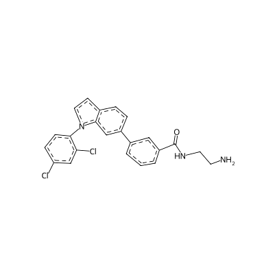 NCCNC(=O)c1cccc(-c2ccc3ccn(-c4ccc(Cl)cc4Cl)c3c2)c1